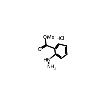 COC(=O)c1ccccc1NN.Cl